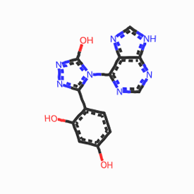 Oc1ccc(-c2nnc(O)n2-c2ncnc3[nH]cnc23)c(O)c1